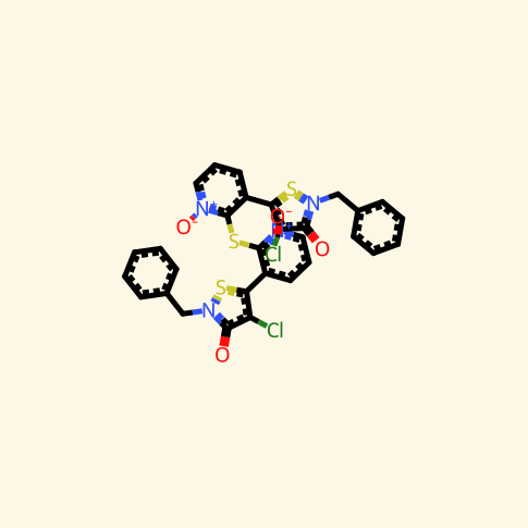 O=c1c(Cl)c(-c2ccc[n+]([O-])c2Sc2c(-c3sn(Cc4ccccc4)c(=O)c3Cl)ccc[n+]2[O-])sn1Cc1ccccc1